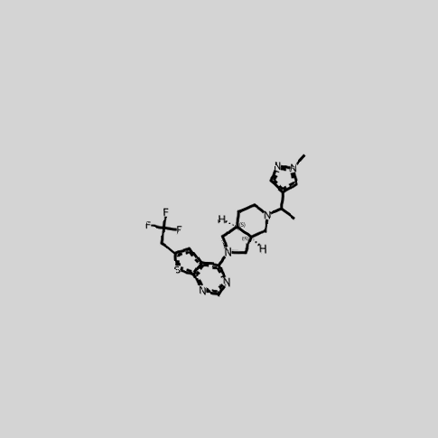 CC(c1cnn(C)c1)N1CC[C@@H]2CN(c3ncnc4sc(CC(F)(F)F)cc34)C[C@@H]2C1